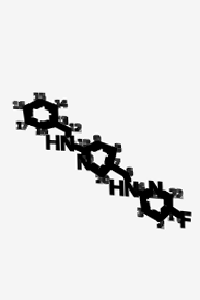 Fc1ccc(NCc2ccc(NCc3ccccc3)nc2)nc1